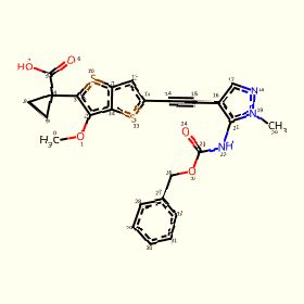 COc1c(C2(C(=O)O)CC2)sc2cc(C#Cc3cnn(C)c3NC(=O)OCc3ccccc3)sc12